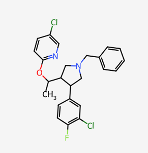 CC(Oc1ccc(Cl)cn1)C1CN(Cc2ccccc2)CC1c1ccc(F)c(Cl)c1